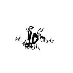 C=CC(=O)Nc1ccc(-c2c(C3=CC[C@H](C(=O)N4CCCC4)CC3)c3c(N)ncnc3n2C)cc1